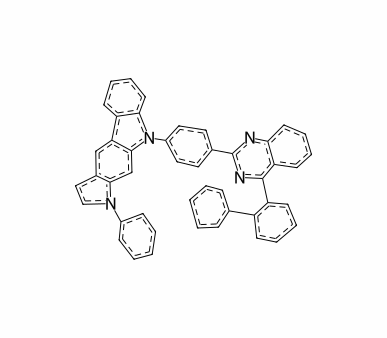 c1ccc(-c2ccccc2-c2nc(-c3ccc(-n4c5ccccc5c5cc6ccn(-c7ccccc7)c6cc54)cc3)nc3ccccc23)cc1